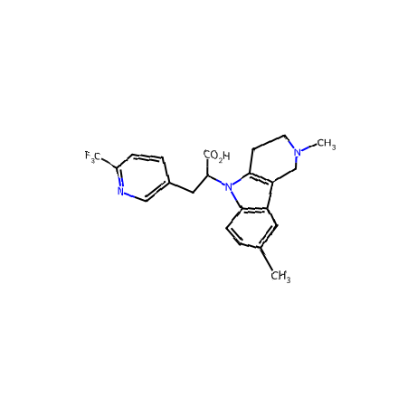 Cc1ccc2c(c1)c1c(n2C(Cc2ccc(C(F)(F)F)nc2)C(=O)O)CCN(C)C1